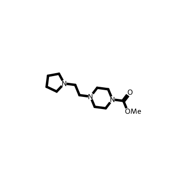 COC(=O)N1CCN(CCN2CCCC2)CC1